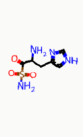 NC(Cc1c[nH]cn1)C(=O)S(N)(=O)=O